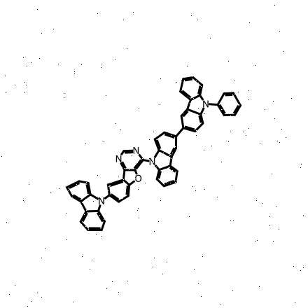 c1ccc(-n2c3ccccc3c3cc(-c4ccc5c(c4)c4ccccc4n5-c4ncnc5c4oc4ccc(-n6c7ccccc7c7ccccc76)cc45)ccc32)cc1